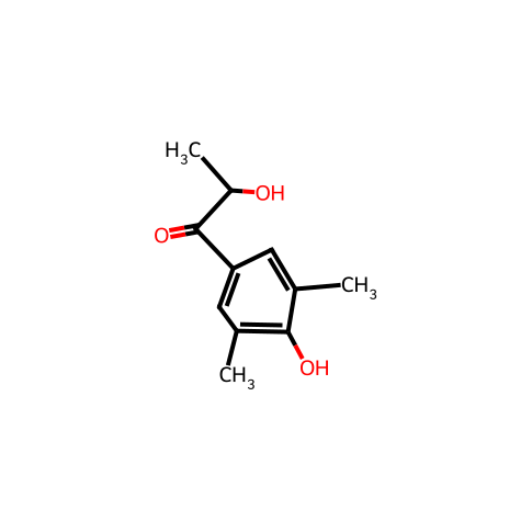 Cc1cc(C(=O)C(C)O)cc(C)c1O